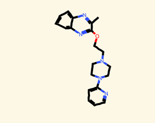 Cc1nc2ccccc2nc1OCCN1CCN(c2ccccn2)CC1